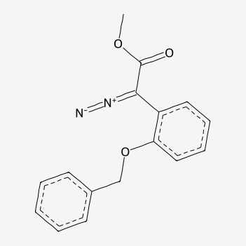 COC(=O)C(=[N+]=[N-])c1ccccc1OCc1ccccc1